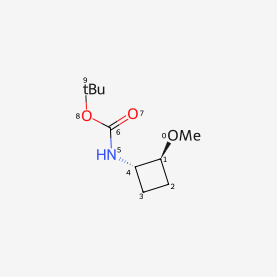 CO[C@H]1CC[C@@H]1NC(=O)OC(C)(C)C